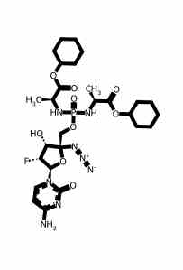 C[C@H](NP(=O)(N[C@@H](C)C(=O)OC1CCCCC1)OC[C@@]1(N=[N+]=[N-])O[C@@H](n2ccc(N)nc2=O)[C@H](F)[C@@H]1O)C(=O)OC1CCCCC1